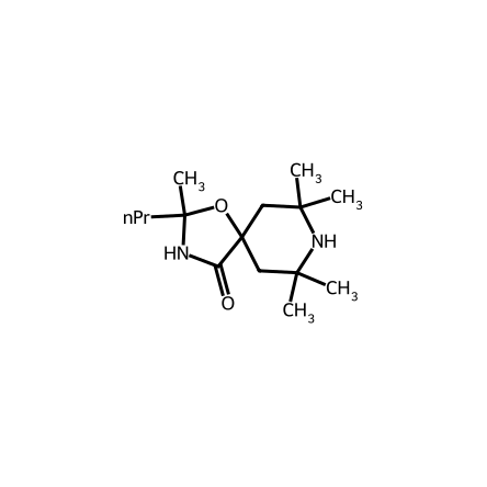 CCCC1(C)NC(=O)C2(CC(C)(C)NC(C)(C)C2)O1